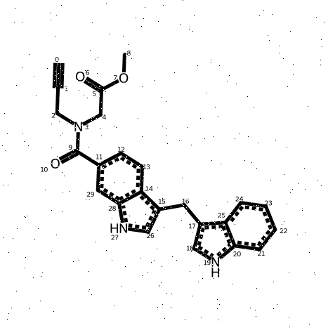 C#CCN(CC(=O)OC)C(=O)c1ccc2c(Cc3c[nH]c4ccccc34)c[nH]c2c1